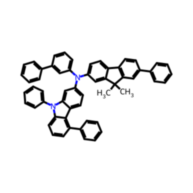 CC1(C)c2cc(-c3ccccc3)ccc2-c2ccc(N(c3cccc(-c4ccccc4)c3)c3ccc4c5c(-c6ccccc6)cccc5n(-c5ccccc5)c4c3)cc21